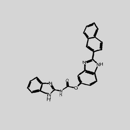 O=C(Nc1nc2ccccc2[nH]1)Oc1ccc2[nH]c(-c3ccc4ccccc4c3)nc2c1